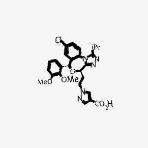 COc1cccc([C@H]2O[C@H](CCn3cc(C(=O)O)cn3)c3nnc(C(C)C)n3-c3ccc(Cl)cc32)c1OC